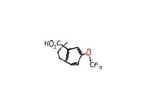 CC1(C(=O)O)CCc2ccc(OC(F)(F)F)cc21